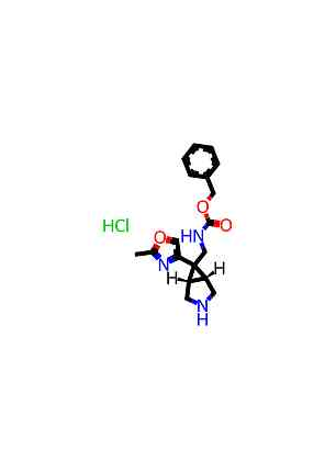 Cc1nc(C2(CNC(=O)OCc3ccccc3)[C@@H]3CNC[C@@H]32)co1.Cl